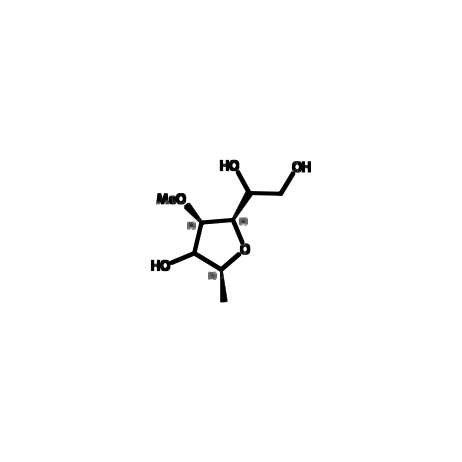 CO[C@@H]1C(O)[C@H](C)O[C@@H]1C(O)CO